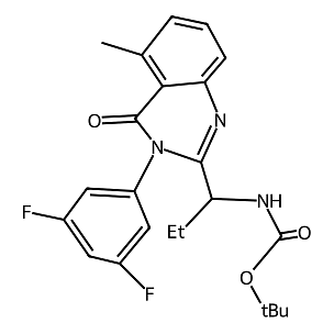 CCC(NC(=O)OC(C)(C)C)c1nc2cccc(C)c2c(=O)n1-c1cc(F)cc(F)c1